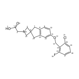 O=C(O)CN1CC2(Cc3ccc(OCc4c(F)cccc4Cl)cc3C2)C1